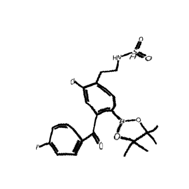 CC1(C)OB(c2cc(CCN[SH](=O)=O)c(Cl)cc2C(=O)c2ccc(F)cc2)OC1(C)C